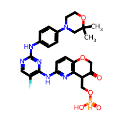 CC1(C)CN(c2ccc(Nc3ncc(F)c(Nc4ccc5c(n4)C(CO[PH](=O)O)C(=O)CO5)n3)cc2)CCO1